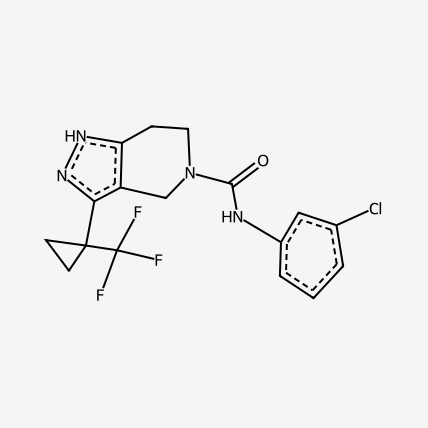 O=C(Nc1cccc(Cl)c1)N1CCc2[nH]nc(C3(C(F)(F)F)CC3)c2C1